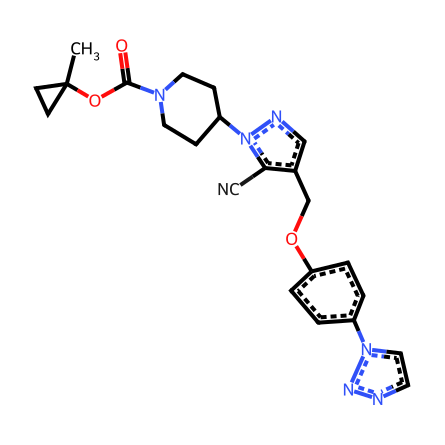 CC1(OC(=O)N2CCC(n3ncc(COc4ccc(-n5ccnn5)cc4)c3C#N)CC2)CC1